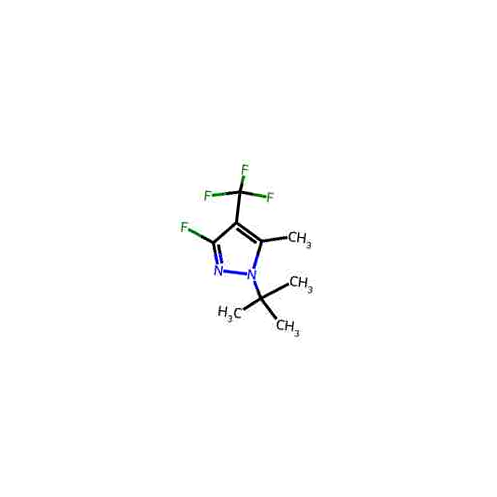 Cc1c(C(F)(F)F)c(F)nn1C(C)(C)C